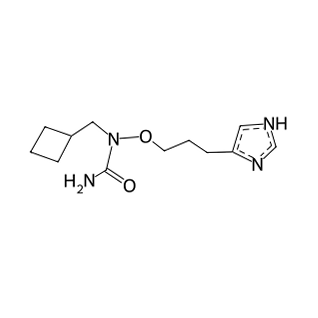 NC(=O)N(CC1CCC1)OCCCc1c[nH]cn1